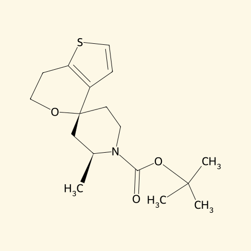 C[C@H]1C[C@@]2(CCN1C(=O)OC(C)(C)C)OCCc1sccc12